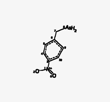 O=[N+]([O-])c1ccc(C[AsH2])cc1